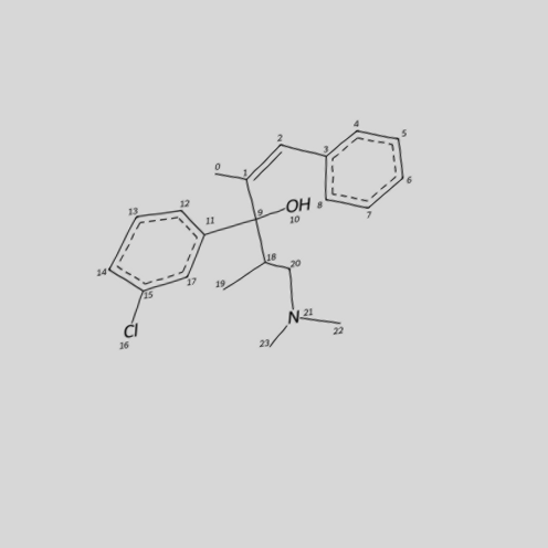 CC(=Cc1ccccc1)C(O)(c1cccc(Cl)c1)C(C)CN(C)C